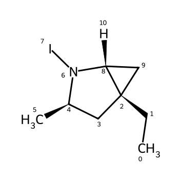 CC[C@@]12C[C@@H](C)N(I)[C@@H]1C2